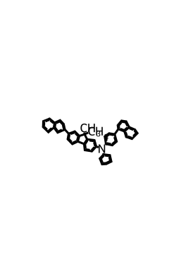 CC1(C)c2cc(-c3ccc4ccccc4c3)ccc2-c2ccc(N(c3ccccc3)c3ccc(-c4cccc5ccccc45)cc3)cc21